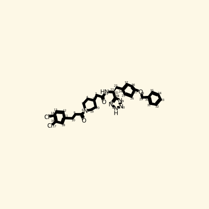 O=C(CC1CCN(C(=O)CCc2ccc(Cl)c(Cl)c2)CC1)N[C@@H](Cc1ccc(OCc2ccccc2)cc1)c1nn[nH]n1